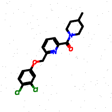 CC1CCN(C(=O)c2cccc(COc3ccc(Cl)c(Cl)c3)n2)CC1